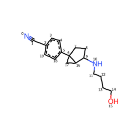 N#Cc1ccc(C23CCC(NCCCCO)C2C3)cc1